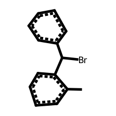 Cc1ccccc1C(Br)c1ccccc1